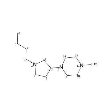 CCCCN1CCC(N2CCN(I)CC2)C1